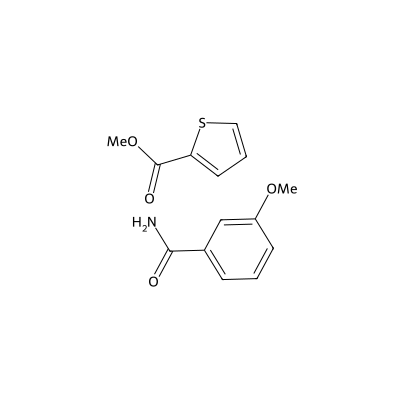 COC(=O)c1cccs1.COc1cccc(C(N)=O)c1